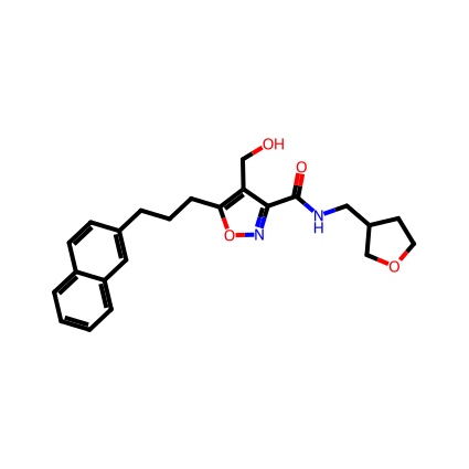 O=C(NCC1CCOC1)c1noc(CCCc2ccc3ccccc3c2)c1CO